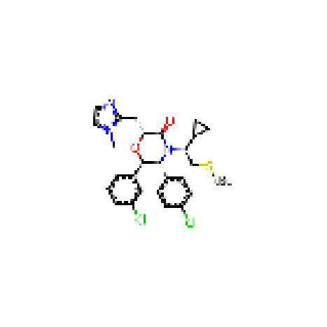 Cn1ccnc1C[C@H]1O[C@H](c2cccc(Cl)c2)[C@@H](c2ccc(Cl)cc2)N([C@H](CSC(C)(C)C)C2CC2)C1=O